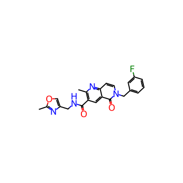 Cc1nc(CNC(=O)c2cc3c(=O)n(Cc4cccc(F)c4)ccc3nc2C)co1